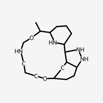 CC1OCNCCCOC2CCC3NNC(C4CCCC1N4)C3C2